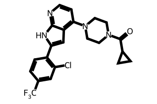 O=C(C1CC1)N1CCN(c2ccnc3[nH]c(-c4ccc(C(F)(F)F)cc4Cl)cc23)CC1